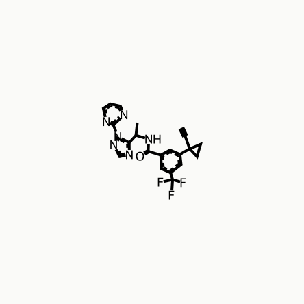 C#CC1(c2cc(C(=O)NC(C)c3ncnn3-c3ncccn3)cc(C(F)(F)F)c2)CC1